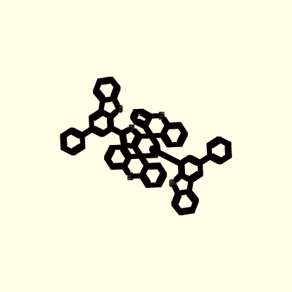 c1ccc(-c2cc(-c3cc4c(s3)C3(c5ccccc5Sc5ccccc53)c3cc(-c5cc(-c6ccccc6)cc6c5oc5ccccc56)sc3C43c4ccccc4Sc4ccccc43)c3oc4ccccc4c3c2)cc1